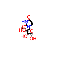 B.O=c1ccn([C@@H]2O[C@H](CO)[C@@H](O)[C@H]2O)c(=O)[nH]1